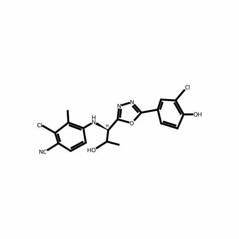 Cc1c(N[C@@H](c2nnc(-c3ccc(O)c(Cl)c3)o2)C(C)O)ccc(C#N)c1Cl